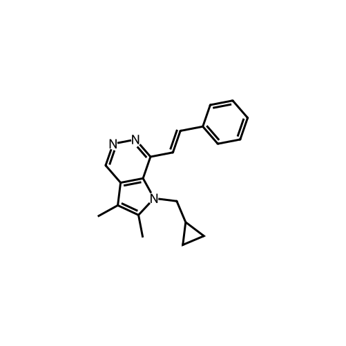 Cc1c(C)n(CC2CC2)c2c(C=Cc3ccccc3)nncc12